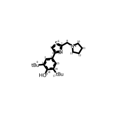 CC(C)(C)c1cc(-c2csc(CN3CCCC3)n2)cc(C(C)(C)C)c1O